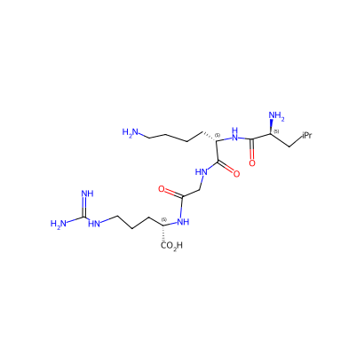 CC(C)C[C@H](N)C(=O)N[C@@H](CCCCN)C(=O)NCC(=O)N[C@@H](CCCNC(=N)N)C(=O)O